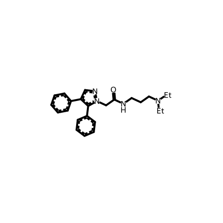 CCN(CC)CCCNC(=O)Cn1ncc(-c2ccccc2)c1-c1ccccc1